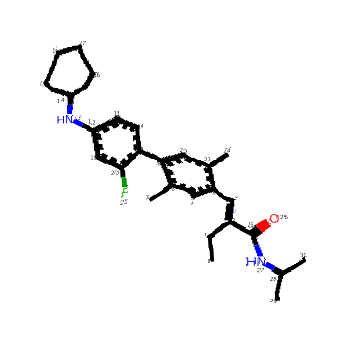 CC/C(=C\c1cc(C)c(-c2ccc(NC3CCCC3)cc2F)cc1C)C(=O)NC(C)C